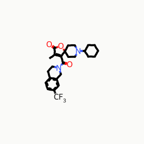 CC1=C(C(=O)N2CCc3ccc(C(F)(F)F)cc3C2)C2(CCN(C3CCCCC3)CC2)OC1=O